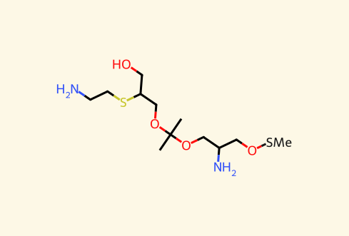 CSOCC(N)COC(C)(C)OCC(CO)SCCN